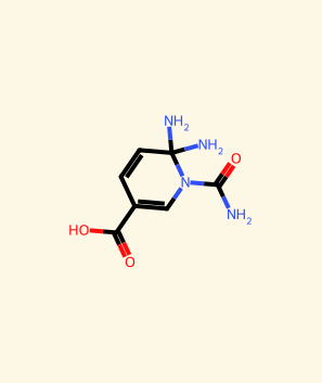 NC(=O)N1C=C(C(=O)O)C=CC1(N)N